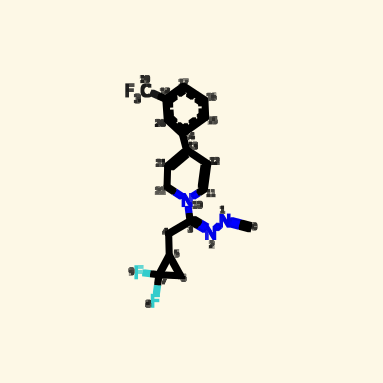 C=N/N=C(/CC1CC1(F)F)N1C=CC(c2cccc(C(F)(F)F)c2)=CC1